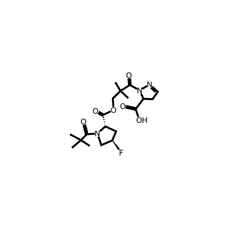 CC(C)(C)C(=O)N1C[C@H](F)C[C@H]1C(=O)OCC(C)(C)C(=O)N1N=CCC1C(=O)O